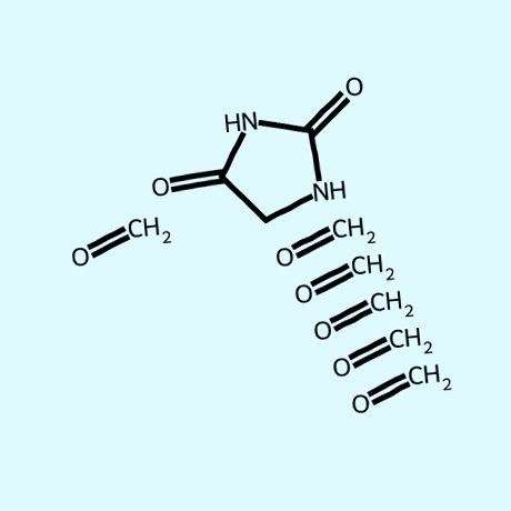 C=O.C=O.C=O.C=O.C=O.C=O.O=C1CNC(=O)N1